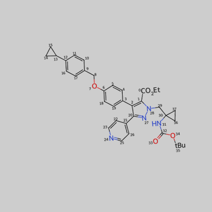 CCOC(=O)c1c(-c2ccc(OCc3ccc(C4CC4)cc3)cc2)c(-c2ccncc2)nn1CC1(NC(=O)OC(C)(C)C)CC1